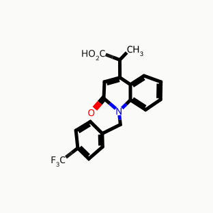 CC(C(=O)O)c1cc(=O)n(Cc2ccc(C(F)(F)F)cc2)c2ccccc12